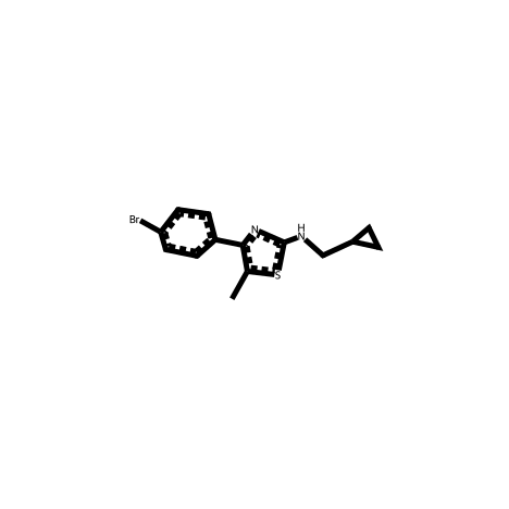 Cc1sc(NCC2CC2)nc1-c1ccc(Br)cc1